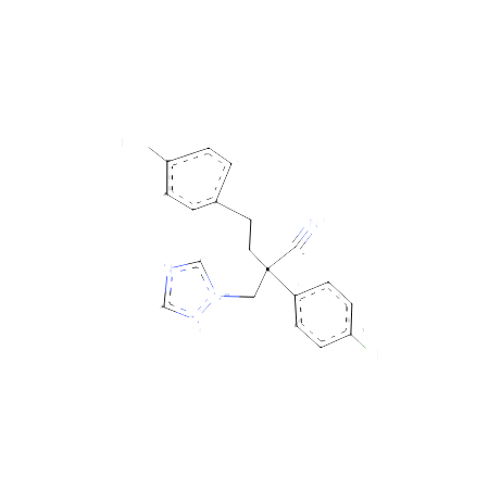 Cc1ccc(CCC(C#N)(Cn2cncn2)c2ccc(Cl)cc2)cc1